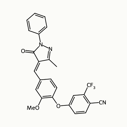 COc1cc(/C=C2/C(=O)N(c3ccccc3)N=C2C)ccc1Oc1ccc(C#N)c(C(F)(F)F)c1